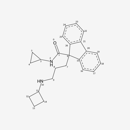 O=C(NC1CC1)C1(CCCNC2CCC2)c2ccccc2-c2ccccc21